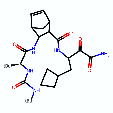 CC(C)(C)NC(=O)N[C@H](C(=O)NC1C2C=CC(C2)C1C(=O)NC(CC1CCC1)C(=O)C(N)=O)C(C)(C)C